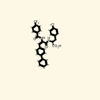 O=C(N[C@@H](Cc1ccc(Cl)cc1)C(=O)O)/C(=C\c1ccc(-c2ccccc2)cc1)NC(=O)c1ccc(C(F)(F)F)cc1